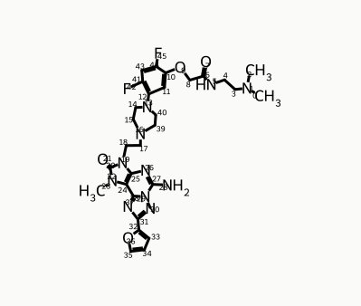 CN(C)CCNC(=O)COc1cc(N2CCN(CCn3c(=O)n(C)c4c3nc(N)n3nc(-c5ccco5)nc43)CC2)c(F)cc1F